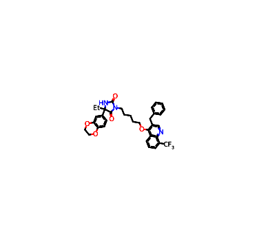 CCC1(c2ccc3c(c2)OCCO3)NC(=O)N(CCCCCOc2c(Cc3ccccc3)cnc3c(C(F)(F)F)cccc23)C1=O